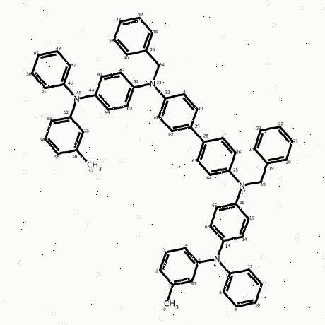 Cc1cccc(N(c2ccccc2)c2ccc(N(Cc3ccccc3)c3ccc(-c4ccc(N(Cc5ccccc5)c5ccc(N(c6ccccc6)c6cccc(C)c6)cc5)cc4)cc3)cc2)c1